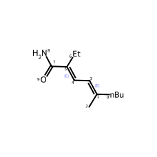 CCCC/C(C)=C/C=C(\CC)C(N)=O